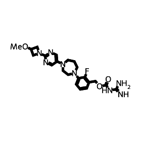 COC1CN(c2ncc(N3CCCN(c4cccc(COC(=O)NC(=N)N)c4F)CC3)cn2)C1